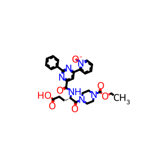 CCOC(=O)N1CCN(C(=O)[C@H](CCC(=O)O)NC(=O)c2cc(-c3cccc[n+]3[O-])nc(-c3ccccc3)n2)CC1